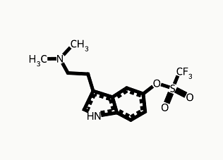 CN(C)CCc1c[nH]c2ccc(OS(=O)(=O)C(F)(F)F)cc12